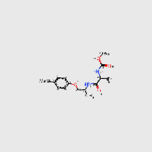 CSc1ccc(OCC(C)NC(=O)[C@@H](NC(=O)OC(C)(C)C)C(C)C)cc1